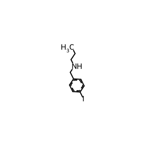 CCCNCc1ccc(I)cc1